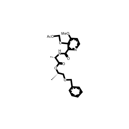 COc1ccnc(C(=O)N[C@@H](C)C(=O)O[C@@H](C)COCc2ccccc2)c1OCOC(C)=O